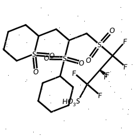 O=S1(=O)CCCCC1CC(CS(=O)(=O)C(F)(F)C(F)(F)C(F)(F)S(=O)(=O)O)S(=O)(=O)C1CCCCC1